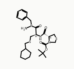 CC(C)(C)OC(=O)N1CSC[C@H]1C(=O)N[C@@H](CSCC1CCCCC1)C(=O)N(N)Cc1ccccc1